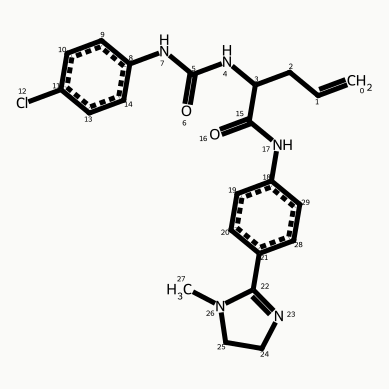 C=CCC(NC(=O)Nc1ccc(Cl)cc1)C(=O)Nc1ccc(C2=NCCN2C)cc1